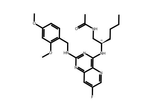 CCCC[C@H](CNC(C)=O)Nc1nc(NCc2ccc(OC)cc2OC)nc2cc(F)cnc12